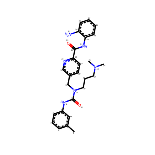 Cc1cccc(NC(=O)N(CCCN(C)C)Cc2ccc(C(=O)Nc3ccccc3N)nc2)c1